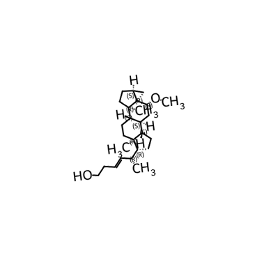 CO[C@@H]1C[C@H]2[C@@H]3CC[C@H]([C@H](C)C=CCCO)[C@@]3(C)CC[C@@H]2[C@@]2(C)CC[C@H]3C[C@]312